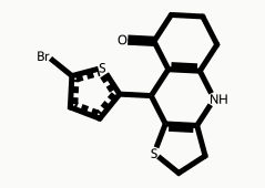 O=C1CCCC2=C1C(c1ccc(Br)s1)C1=C(CCS1)N2